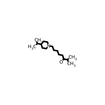 CC(C)C(=O)CCCCCN1CCC(C(C)C)CC1